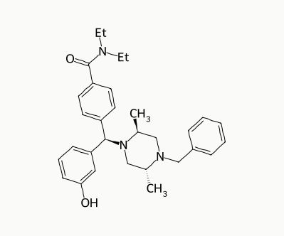 CCN(CC)C(=O)c1ccc([C@H](c2cccc(O)c2)N2C[C@@H](C)N(Cc3ccccc3)C[C@@H]2C)cc1